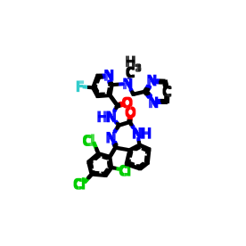 CN(Cc1ncccn1)c1ncc(F)cc1C(=O)NC1N=C(c2c(Cl)cc(Cl)cc2Cl)c2ccccc2NC1=O